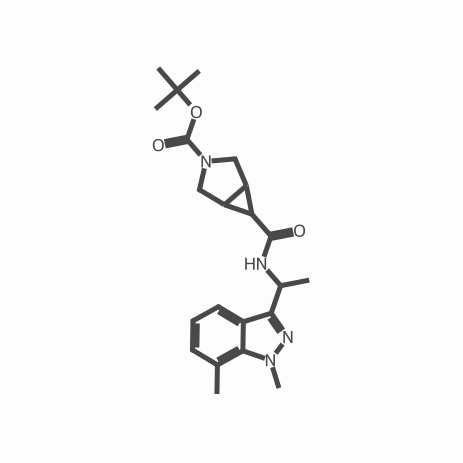 Cc1cccc2c(C(C)NC(=O)C3C4CN(C(=O)OC(C)(C)C)CC43)nn(C)c12